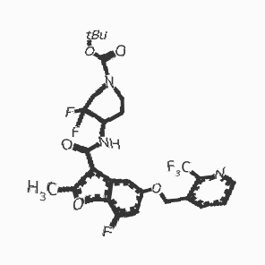 Cc1oc2c(F)cc(OCc3cccnc3C(F)(F)F)cc2c1C(=O)NC1CCN(C(=O)OC(C)(C)C)CC1(F)F